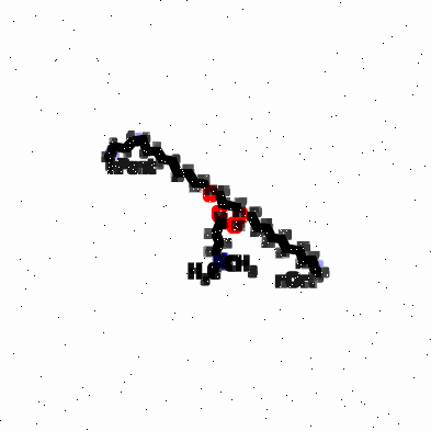 CCCCC/C=C\C/C=C\CCCCCCCCOCC(COCCCCCCCC/C=C\CCCCCCCC)OC(=O)CCCN(C)C